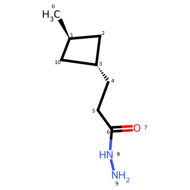 C[C@H]1C[C@H](CCC(=O)NN)C1